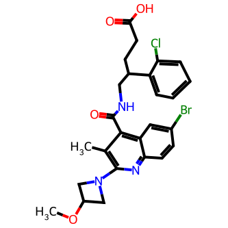 COC1CN(c2nc3ccc(Br)cc3c(C(=O)NCC(CCC(=O)O)c3ccccc3Cl)c2C)C1